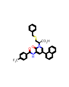 O=C(Nc1cc(-c2cccc3ccccc23)cn([C@@H](CSCc2ccccc2)C(=O)O)c1=O)c1ccc(C(F)(F)F)cc1